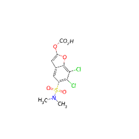 CN(C)S(=O)(=O)c1cc2cc(OC(=O)O)oc2c(Cl)c1Cl